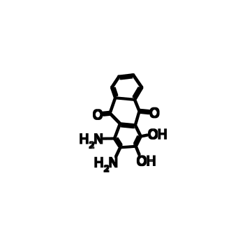 Nc1c(N)c2c(c(O)c1O)C(=O)c1ccccc1C2=O